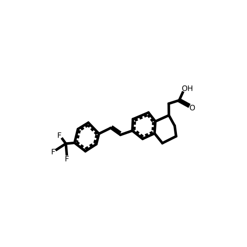 O=C(O)CC1CCCc2cc(C=Cc3ccc(C(F)(F)F)cc3)ccc21